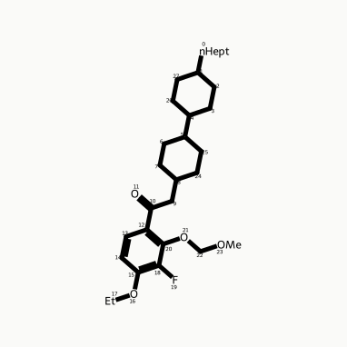 CCCCCCCC1CCC(C2CCC(CC(=O)c3ccc(OCC)c(F)c3OCOC)CC2)CC1